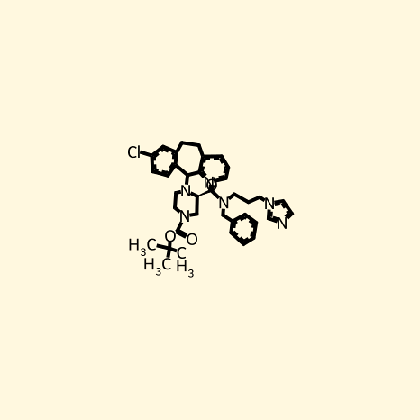 CC(C)(C)OC(=O)N1CCN(C2c3ccc(Cl)cc3CCc3cccnc32)[C@@H](C(=O)N(CCCn2ccnc2)Cc2ccccc2)C1